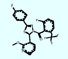 COc1ncccc1C1SC(c2ccc(F)cc2)=NN1C(=O)c1c(F)cccc1C(F)(F)F